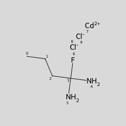 CCCC(N)(N)F.[Cd+2].[Cl-].[Cl-]